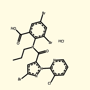 CCCN(C(=O)c1cc(Br)nn1-c1ncccc1Cl)c1c(Br)cc(Br)cc1C(=O)O.Cl